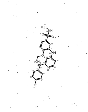 CCOc1ccc(S(=O)(=O)NC)cc1Nc1cc(Nc2ccc(Cl)cc2)ncn1